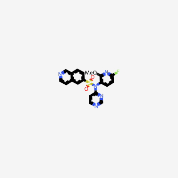 COc1nc(F)ccc1N(c1ccncn1)S(=O)(=O)c1ccc2cnccc2c1